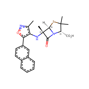 Cc1noc(-c2ccc3ccccc3c2)c1N[C@@]1(C)C(=O)N2[C@@H](C(=O)O)C(C)(C)S[C@@H]21